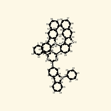 c1ccc(-c2nc(-c3ccc4c5ccccc5n(-c5ccccc5)c4c3)nc(-c3ccc4sc5cc6ccccc6cc5c4c3-n3c4ccccc4c4cc5ccccc5cc43)n2)cc1